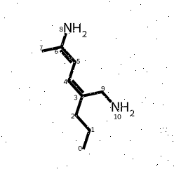 CCC/C(=C/C=C(\C)N)CN